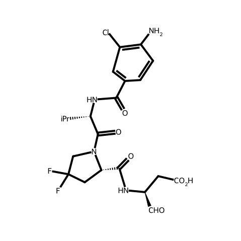 CC(C)[C@H](NC(=O)c1ccc(N)c(Cl)c1)C(=O)N1CC(F)(F)C[C@H]1C(=O)N[C@H](C=O)CC(=O)O